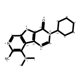 CN(C)c1c(C#N)ncc2sc3c(=O)n(C4CCCCC4)cnc3c12